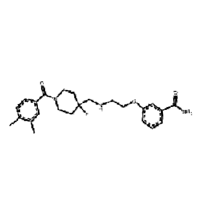 Cc1ccc(C(=O)N2CCC(F)(CNCCOc3cccc(C(N)=O)c3)CC2)cc1C